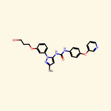 CC(C)(C)c1cc(NC(=O)Nc2ccc(Oc3cccnc3)cc2)n(-c2cccc(OCCCO)c2)n1